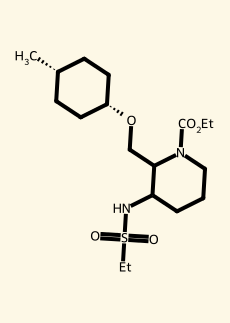 CCOC(=O)N1CCCC(NS(=O)(=O)CC)C1CO[C@H]1CC[C@@H](C)CC1